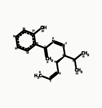 C=C(/N=N\[C@H](C/C=C\C)C(C)C)c1ccccc1O